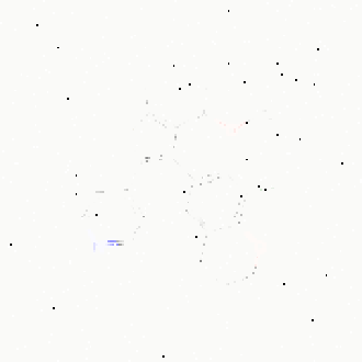 Cc1sc(-c2ccncc2)c(-c2cc(F)c3c(c2)CCCO3)c1C(OC(C)(C)C)C(=O)O